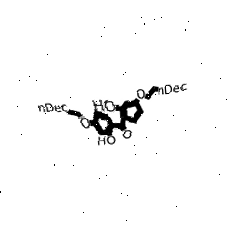 CCCCCCCCCCCCOc1ccc(C(=O)c2ccc(OCCCCCCCCCCCC)cc2O)c(O)c1